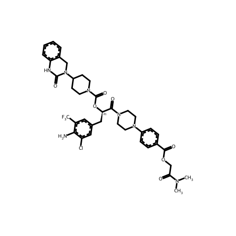 CN(C)C(=O)COC(=O)c1ccc(N2CCN(C(=O)[C@@H](Cc3cc(Cl)c(N)c(C(F)(F)F)c3)OC(=O)N3CCC(N4Cc5ccccc5NC4=O)CC3)CC2)cc1